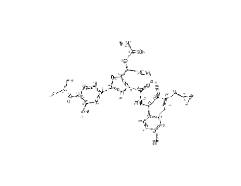 CC(OC(N)=O)c1oc(-c2ccc(OC(F)F)c(O)c2)nc1C(=O)NC(C(=O)NCC1CC1)c1ccc(F)cc1F